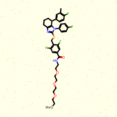 COCCOCCOCCOCCNC(=O)c1cc(F)c(CSc2nc3c(n2-c2ccc(F)cc2)C(c2ccc(F)c(C)c2)CCC3)c(F)c1